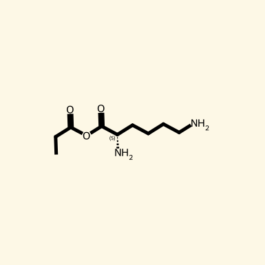 CCC(=O)OC(=O)[C@@H](N)CCCCN